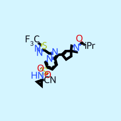 CC(C)C(=O)N1CC2(C=C(c3nc(-c4nnc(C(F)(F)F)s4)n4cc(S(=O)(=O)NC5(C#N)CC5)ccc34)CC2)C1